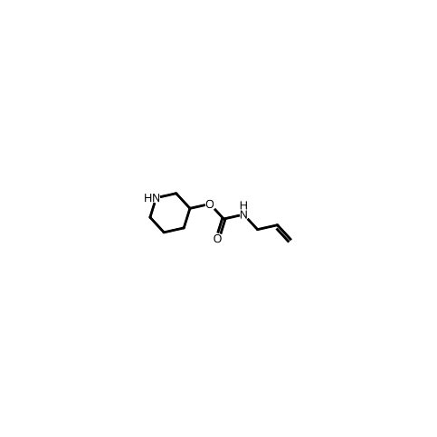 C=CCNC(=O)OC1CCCNC1